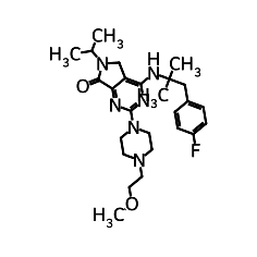 COCCN1CCN(c2nc(NC(C)(C)Cc3ccc(F)cc3)c3c(n2)C(=O)N(C(C)C)C3)CC1